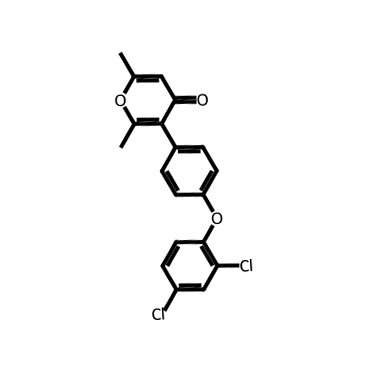 Cc1cc(=O)c(-c2ccc(Oc3ccc(Cl)cc3Cl)cc2)c(C)o1